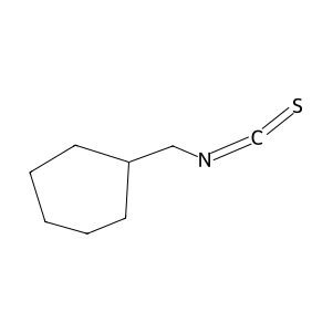 S=C=NCC1CCCCC1